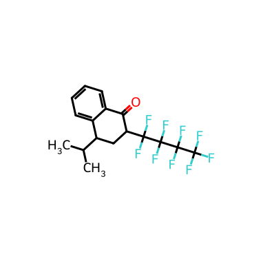 CC(C)C1CC(C(F)(F)C(F)(F)C(F)(F)C(F)(F)F)C(=O)c2ccccc21